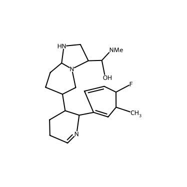 CNC(O)C1CNC2CCC(C3CCC=NC3C3=CC(C)C(F)C=C3)CN21